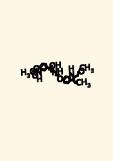 CCc1c(CCOC)[nH]c2cc(OCCNC[C@H](O)c3cccc(NS(C)(=O)=O)c3)ccc12